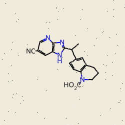 CC(c1ccc2c(c1)CCCN2C(=O)O)c1nc2ncc(C#N)cc2[nH]1